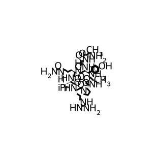 CC(C)C[C@H](NC(=O)[C@@H](CCCNC(N)=O)NC(=O)[C@H](Cc1ccc(O)cc1)NC(=O)[C@H](CO)NC(=O)[C@H](C)N)C(=O)N[C@@H](CCCNC(=N)N)C(=O)N1CCC[C@H]1C(=O)N[C@H](C)C(N)=O